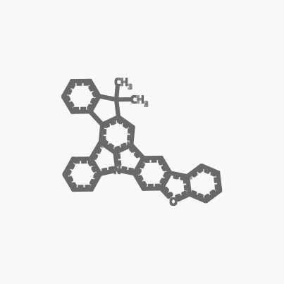 CC1(C)c2ccccc2-c2c1cc1c3cc4c(cc3n3c5ccccc5c2c13)oc1ccccc14